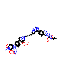 Cc1cc(-c2ncnn3cc(CCCCN4CC[C@H](c5ccc(NC6CCC(=O)NC6=O)cc5)[C@H](O)C4)cc23)ccc1CNC(=O)c1noc(C(C)(C)C)n1